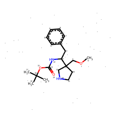 COCC1(C(Cc2ccccc2)NC(=O)OC(C)(C)C)CCNC1